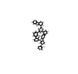 c1ccc(-c2ccc3c4ccccc4n(-c4cccc5c4oc4c(-c6nc(-c7ccccc7)nc(-c7cccc8c7oc7ccccc78)n6)cccc45)c3c2)cc1